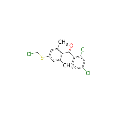 Cc1cc(SCCl)cc(C)c1C(=O)c1ccc(Cl)cc1Cl